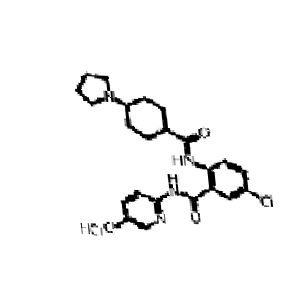 Cl.O=C(Nc1ccc(Cl)cn1)c1cc(Cl)ccc1NC(=O)C1CCC(N2CCCC2)CC1